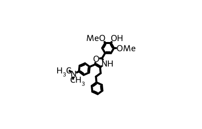 COc1cc(C2NC(CCc3ccccc3)=C(c3ccc(N(C)C)cc3)O2)cc(OC)c1O